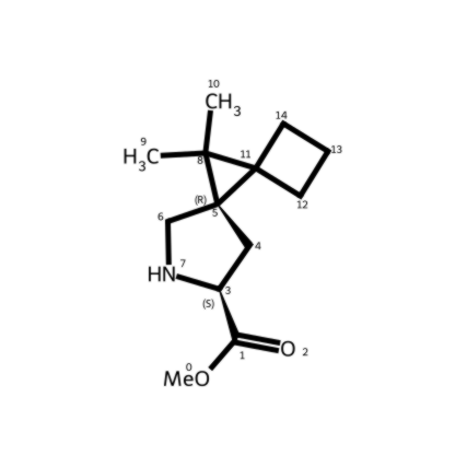 COC(=O)[C@@H]1C[C@@]2(CN1)C(C)(C)C21CCC1